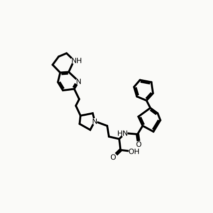 O=C(NC(CCN1CCC(CCc2ccc3c(n2)NCCC3)C1)C(=O)O)c1cccc(-c2ccccc2)c1